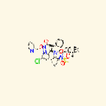 CCOC(=O)CN([C@H]1CCCC[C@@H]1N1C(=O)c2ccccc2[C@@H](C(=O)NOCc2ccccn2)[C@@H]1c1ccc(Cl)cc1)S(C)(=O)=O